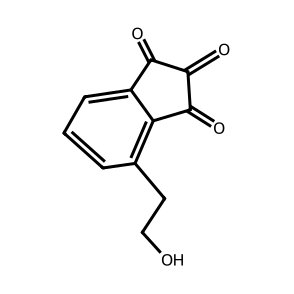 O=c1c(=O)c2cccc(CCO)c2c1=O